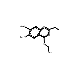 COc1cc2nc(CI)nc(OCC(C)(C)C)c2cc1OC